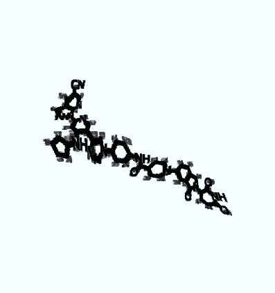 N#Cc1cnc2c(cnn2-c2cc(NC3CCCC3)c(-c3cn(C4CCC(NC(=O)C5CCN(c6ccc7c(c6)C(=O)N(C6CCC(=O)NC6=O)C7)CC5)CC4)nn3)cn2)c1